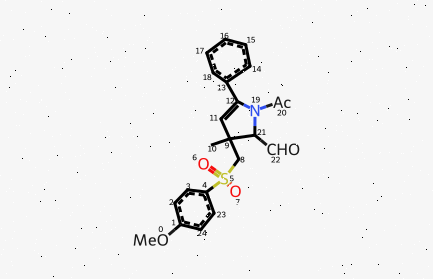 COc1ccc(S(=O)(=O)CC2(C)C=C(c3ccccc3)N(C(C)=O)C2C=O)cc1